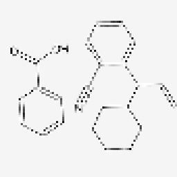 C=CC(c1ccccc1C#N)C1CCCCC1.O=C(O)c1ccccc1